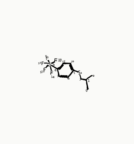 CC(C)CSc1ccc(S(F)(F)(F)(F)F)cc1